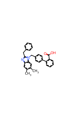 Cc1cc2nc(Cc3ccccc3)n(Cc3ccc(-c4ccccc4C(=O)O)cc3)c2cc1C